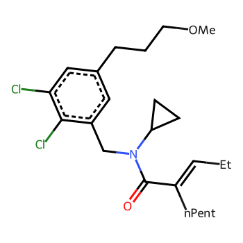 CCC=C(CCCCC)C(=O)N(Cc1cc(CCCOC)cc(Cl)c1Cl)C1CC1